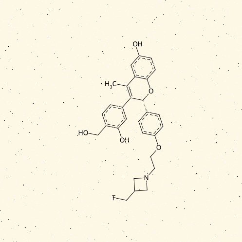 CC1=C(c2ccc(CO)c(O)c2)[C@@H](c2ccc(OCCN3CC(CF)C3)cc2)Oc2ccc(O)cc21